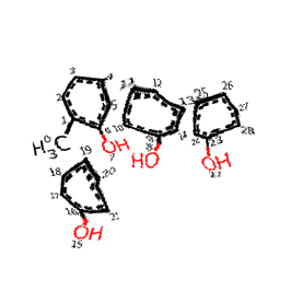 Cc1ccccc1O.Oc1ccccc1.Oc1ccccc1.Oc1ccccc1